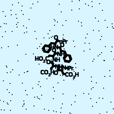 CCCC(=O)C(Cc1ccccc1)NC(=O)C(Cc1ccccc1)NC(=O)C(CC(=O)O)NC(=O)C(CC(=O)O)NC(=O)C(CC(=O)O)NC(C)C